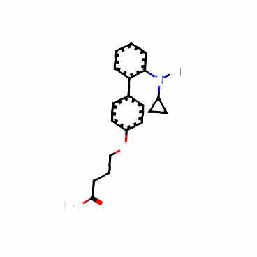 CN(c1ccccc1-c1ccc(OCCCC(=O)O)cc1)C1CC1